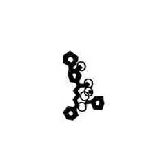 COC(=O)C(CC(CCc1ccccc1)OC(=O)c1ccccc1)c1ccc2c(c1)oc1ccccc12